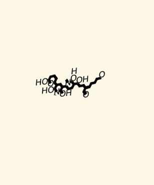 CN1C(O)C(C2CCCC(O)O2)CC(C2CCC(C(O)CC/C(C=O)=C\CCCC=O)C(O)N2C)C1O